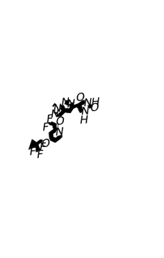 Cn1nc(O[C@H](c2cc(OCC3(C(F)(F)F)CC3)ccn2)C(F)F)c2cc(-c3c[nH]c(=O)[nH]c3=O)nnc21